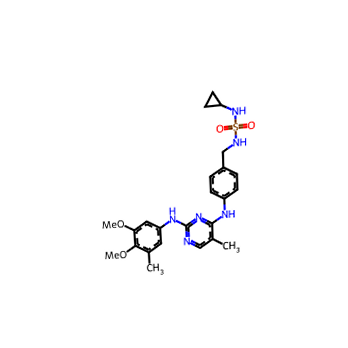 COc1cc(Nc2ncc(C)c(Nc3ccc(CNS(=O)(=O)NC4CC4)cc3)n2)cc(C)c1OC